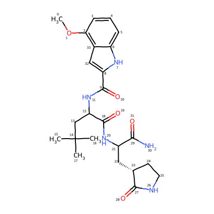 COc1cccc2[nH]c(C(=O)NC(CC(C)(C)C)C(=O)NC(C[C@@H]3CCNC3=O)C(N)=O)cc12